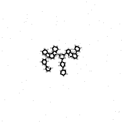 c1ccc(-c2ccc(-c3nc(-c4cccc5c4oc4cccc(-c6ccccc6)c45)nc(-n4c5ccccc5c5c6c7ccccc7n(-c7cccc(-c8ccccc8)c7)c6ccc54)n3)cc2)cc1